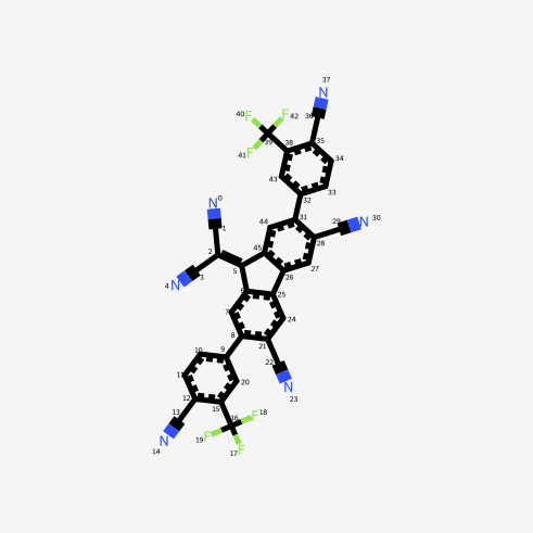 N#CC(C#N)=C1c2cc(-c3ccc(C#N)c(C(F)(F)F)c3)c(C#N)cc2-c2cc(C#N)c(-c3ccc(C#N)c(C(F)(F)F)c3)cc21